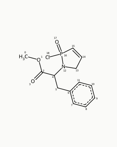 COC(=O)C(Cc1ccccc1)N1CC=CP1(=O)Cl